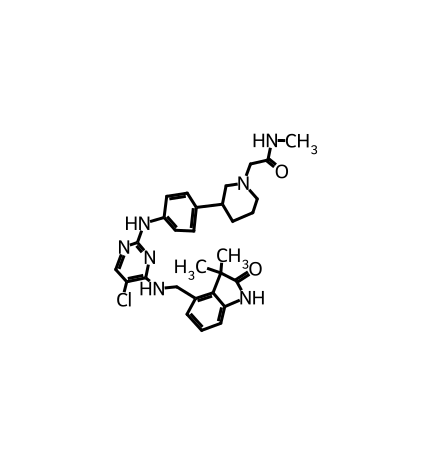 CNC(=O)CN1CCCC(c2ccc(Nc3ncc(Cl)c(NCc4cccc5c4C(C)(C)C(=O)N5)n3)cc2)C1